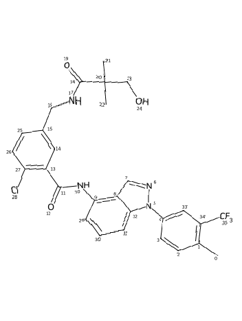 Cc1ccc(-n2ncc3c(NC(=O)c4cc(CNC(=O)C(C)(C)CO)ccc4Cl)cccc32)cc1C(F)(F)F